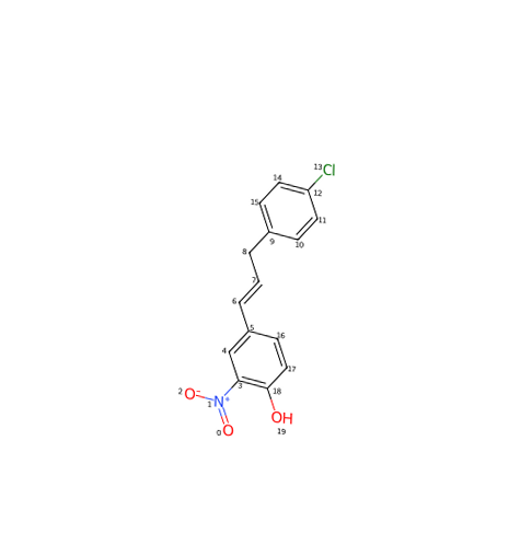 O=[N+]([O-])c1cc(/C=C/Cc2ccc(Cl)cc2)ccc1O